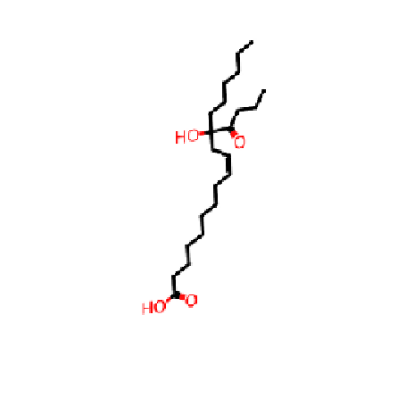 CCCCCCC(O)(C/C=C\CCCCCCCC(=O)O)C(=O)CCC